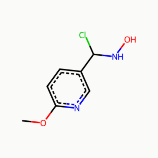 COc1ccc(C(Cl)NO)cn1